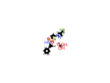 C[C@H]1[C@H](NS(=O)(=O)c2ccc(-n3cc(C(F)(F)F)cn3)s2)[C@H]1c1ccccc1.O=C(O)O